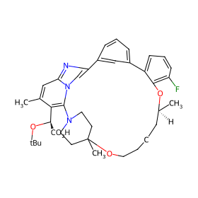 Cc1cc2nc3cn2c(c1[C@H](OC(C)(C)C)C(=O)O)N1CCC(C)(CC1)OCCCC[C@H](C)Oc1c(F)cccc1-c1cccc-3c1